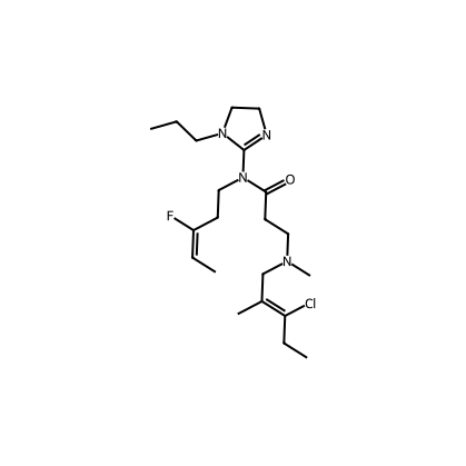 C/C=C(/F)CCN(C(=O)CCN(C)C/C(C)=C(\Cl)CC)C1=NCCN1CCC